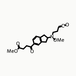 COC(=O)CCC(=O)c1ccc2c(c1)CC(N(CCC=C=O)OC)C2